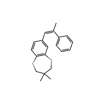 CC(=Cc1ccc2c(c1)SCC(C)(C)CS2)c1ccccc1